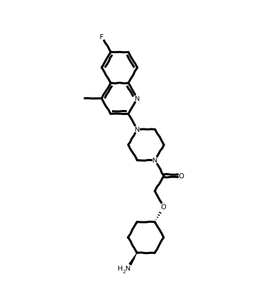 Cc1cc(N2CCN(C(=O)CO[C@H]3CC[C@H](N)CC3)CC2)nc2ccc(F)cc12